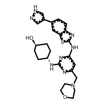 O[C@H]1CC[C@H](Nc2nc(CN3CCOCC3)cc(Nc3nc4ccc(-c5cn[nH]c5)cc4s3)n2)CC1